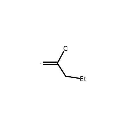 [CH]=C(Cl)CC[CH2]